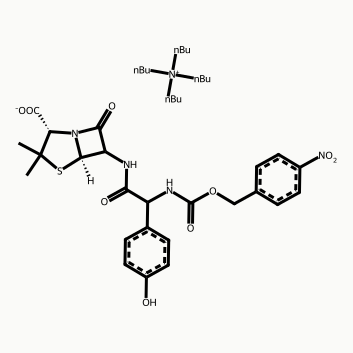 CC1(C)S[C@@H]2C(NC(=O)C(NC(=O)OCc3ccc([N+](=O)[O-])cc3)c3ccc(O)cc3)C(=O)N2[C@H]1C(=O)[O-].CCCC[N+](CCCC)(CCCC)CCCC